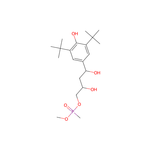 COP(C)(=O)OCC(O)CC(O)c1cc(C(C)(C)C)c(O)c(C(C)(C)C)c1